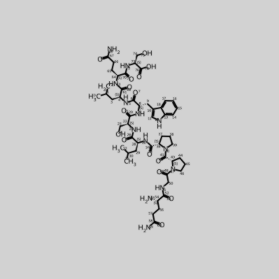 CC(C)C[C@H](NC(=O)[C@H](Cc1c[nH]c2ccccc12)NC(=O)[C@H](CO)NC(=O)[C@H](CC(C)C)NC(=O)[C@@H]1CCCN1C(=O)[C@@H]1CCCN1C(=O)CNC(=O)[C@@H](N)CCC(N)=O)C(=O)N[C@@H](CCC(N)=O)C(=O)N[C@@H](CO)C(=O)O